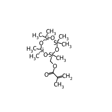 C=C(C)C(=O)OC[Si]1(C)O[Si](C)(C)O[Si](C)(C)O[Si](C)(C)O1